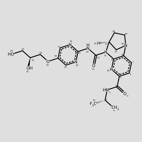 C[C@@H](NC(=O)c1ccc2c(n1)N(C(=O)Nc1ncc(OC[C@@H](O)CO)cn1)[C@H]1CCN2C1)C(F)(F)F